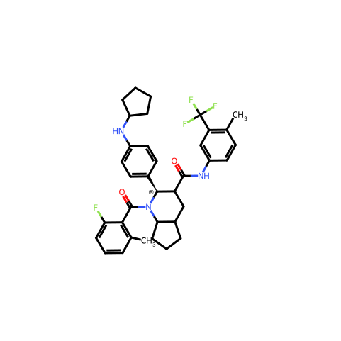 Cc1ccc(NC(=O)C2CC3CCCC3N(C(=O)c3c(C)cccc3F)[C@H]2c2ccc(NC3CCCC3)cc2)cc1C(F)(F)F